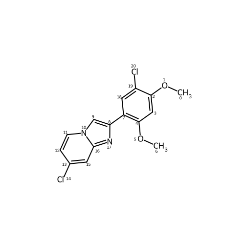 COc1cc(OC)c(-c2cn3ccc(Cl)cc3n2)cc1Cl